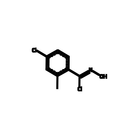 Cc1cc(Cl)ccc1C(Cl)=NO